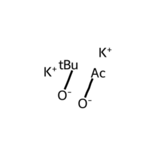 CC(=O)[O-].CC(C)(C)[O-].[K+].[K+]